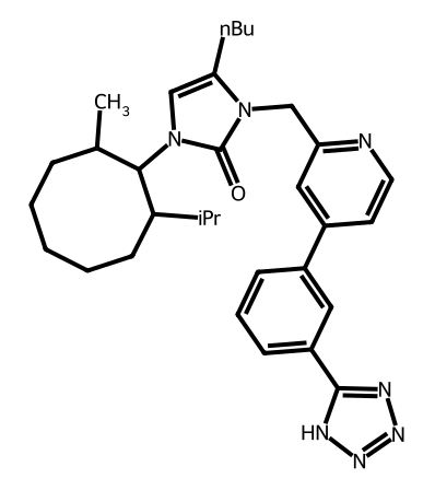 CCCCc1cn(C2C(C)CCCCCC2C(C)C)c(=O)n1Cc1cc(-c2cccc(-c3nnn[nH]3)c2)ccn1